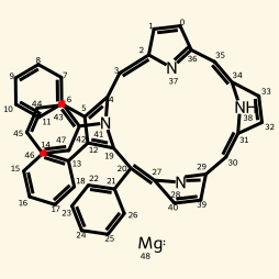 C1=Cc2cc3c(-c4ccccc4)c(-c4ccccc4)c(c(-c4ccccc4)c4nc(cc5ccc(cc1n2)[nH]5)C=C4)n3-c1ccccc1.[Mg]